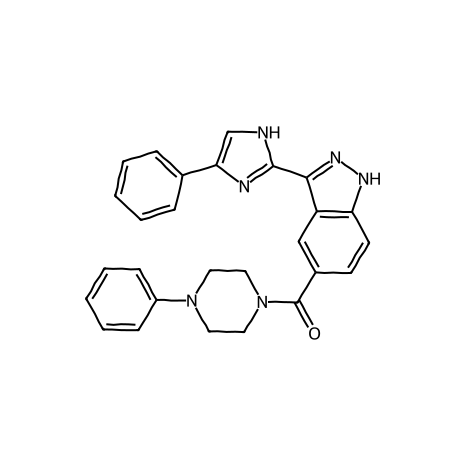 O=C(c1ccc2[nH]nc(-c3nc(-c4ccccc4)c[nH]3)c2c1)N1CCN(c2ccccc2)CC1